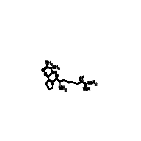 C[C@@H](NC(=O)[C@@H]1CCCN1C(=O)[C@@H](N)CCCCNC(=N)N)C(N)=O